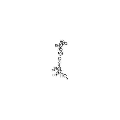 C#Cc1ccc(CNC(=O)[C@@H]2C[C@@H](O)CN2C(=O)[C@@H](NC(=O)N2CC3(CC(N4CCC(c5cnc(N6CCN(c7cc(-c8ccccc8O)nnc7NCC)CC6)nc5)CC4)C3)C2)C(C)(C)C)cc1